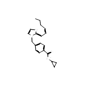 CCC/C=C\C=C1/NC=CN1Cc1ccc(C(=N)NC2CC2)cc1